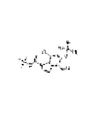 [2H]C([2H])([2H])Oc1cc(Cl)c2c(ccn2C(=O)OC(C)(C)C)c1C=O